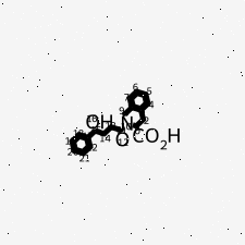 O=C(O)[C@@H]1Cc2ccccc2CN1C(=O)CCC(O)c1ccccc1